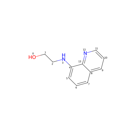 OCCNc1cccc2cccnc12